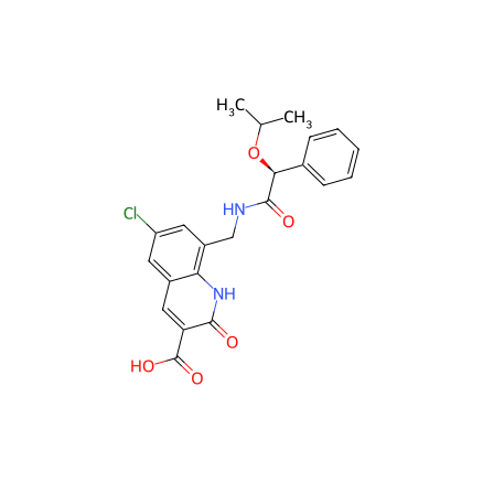 CC(C)O[C@H](C(=O)NCc1cc(Cl)cc2cc(C(=O)O)c(=O)[nH]c12)c1ccccc1